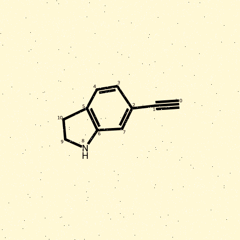 C#Cc1ccc2c(c1)NCC2